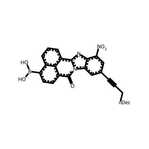 CCCCCCCCCCCC#Cc1cc([N+](=O)[O-])c2nc3c4cccc5c(B(O)O)ccc(c(=O)n3c2c1)c54